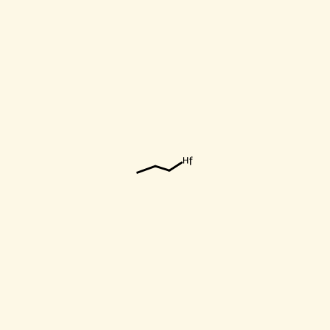 CC[CH2][Hf]